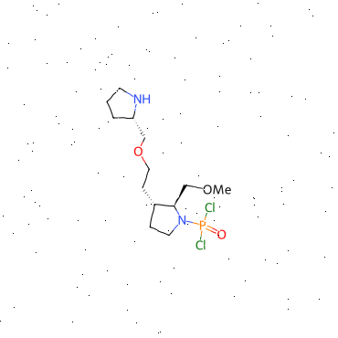 COC[C@@H]1[C@@H](CCOC[C@@H]2CCCN2)CCN1P(=O)(Cl)Cl